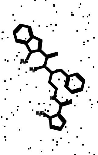 CN(C(=O)c1cc2ccccc2n1C)C(CCNC(=O)c1cccn1C)Cc1ccccc1